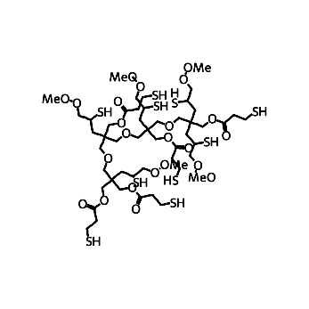 COOCC(S)CC(COCC(COCC(COC(=O)CCS)(CC(S)COOC)CC(S)COOC)(COC(=O)CCS)CC(S)COOC)(COCC(COC(=O)CCS)(COC(=O)CCS)CC(S)COOC)COC(=O)CCS